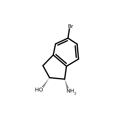 N[C@H]1c2ccc(Br)cc2C[C@H]1O